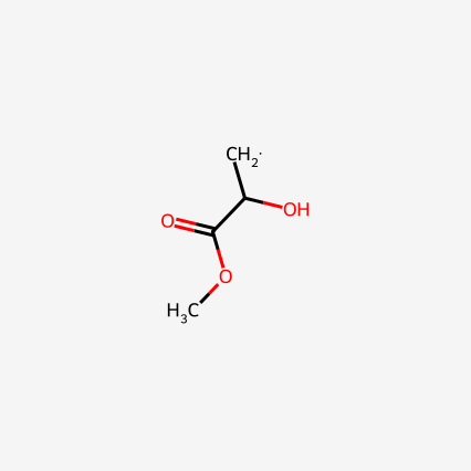 [CH2]C(O)C(=O)OC